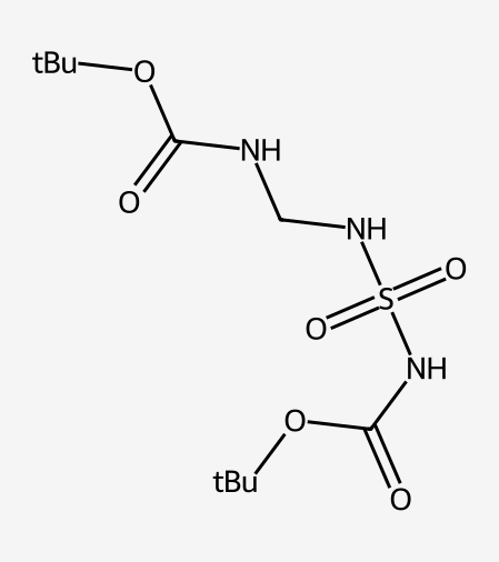 CC(C)(C)OC(=O)NCNS(=O)(=O)NC(=O)OC(C)(C)C